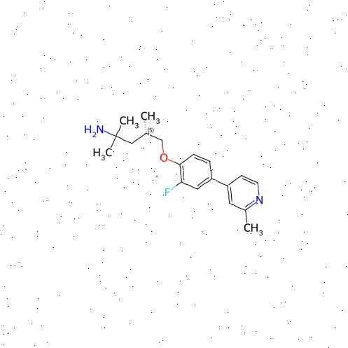 Cc1cc(-c2ccc(OC[C@@H](C)CC(C)(C)N)c(F)c2)ccn1